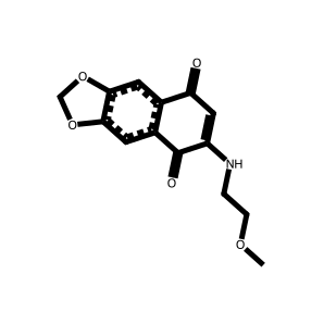 COCCNC1=CC(=O)c2cc3c(cc2C1=O)OCO3